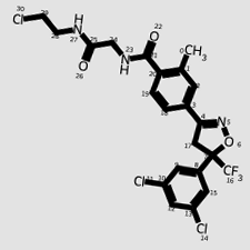 Cc1cc(C2=NOC(c3cc(Cl)cc(Cl)c3)(C(F)(F)F)C2)ccc1C(=O)NCC(=O)NCCCl